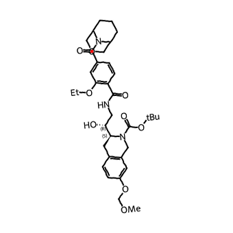 CCOc1cc(C(=O)N2C3CCCC2COC3)ccc1C(=O)NC[C@@H](O)[C@@H]1Cc2ccc(OCOC)cc2CN1C(=O)OC(C)(C)C